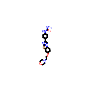 NC(=O)Nc1ccc(-c2cn3c(n2)sc2cc(OCCN4CCOCC4)ccc23)cc1